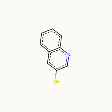 Sc1[c]nc2ccccc2c1